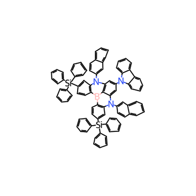 c1ccc([Si](c2ccccc2)(c2ccccc2)c2ccc3c(c2)N(c2ccc4ccccc4c2)c2cc(-n4c5ccccc5c5ccccc54)cc4c2B3c2ccc([Si](c3ccccc3)(c3ccccc3)c3ccccc3)cc2N4c2ccc3ccccc3c2)cc1